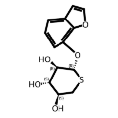 O[C@@H]1[C@@H](O)[C@H](Oc2cccc3ccoc23)SC[C@H]1O